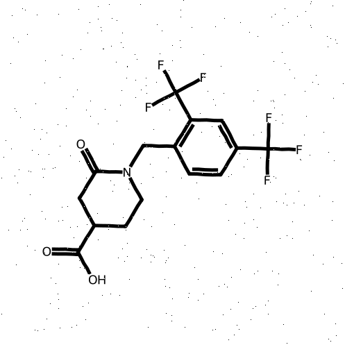 O=C(O)C1CCN(Cc2ccc(C(F)(F)F)cc2C(F)(F)F)C(=O)C1